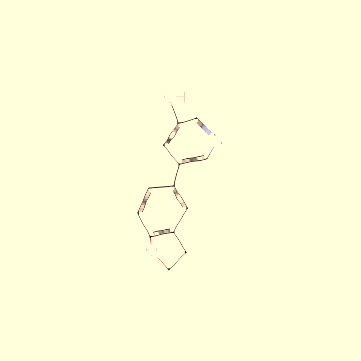 Cc1cncc(-c2ccc3c(c2)CCO3)c1